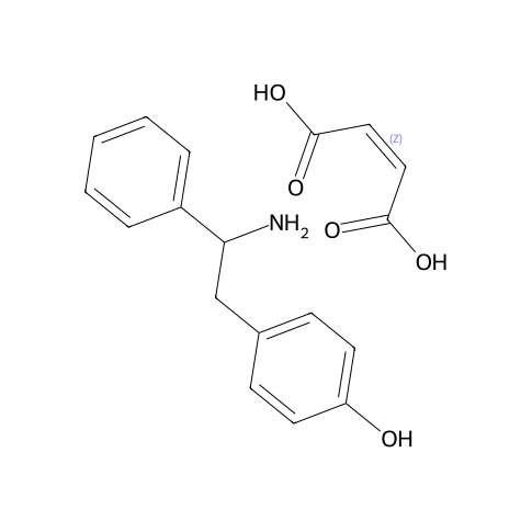 NC(Cc1ccc(O)cc1)c1ccccc1.O=C(O)/C=C\C(=O)O